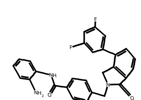 Nc1ccccc1NC(=O)c1ccc(CN2Cc3c(cccc3-c3cc(F)cc(F)c3)C2=O)cc1